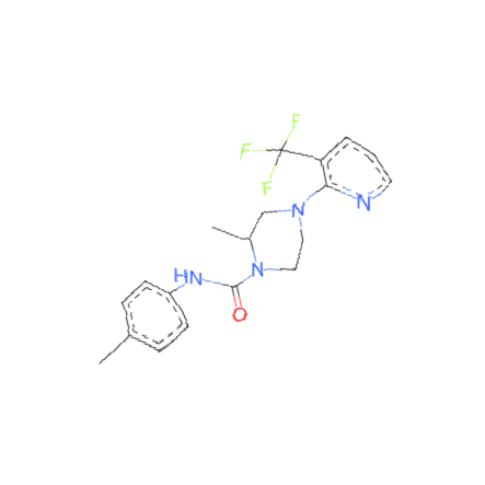 Cc1ccc(NC(=O)N2CCN(c3ncccc3C(F)(F)F)CC2C)cc1